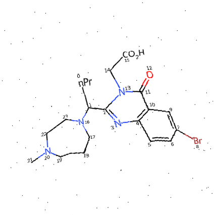 CCCC(c1nc2ccc(Br)cc2c(=O)n1CC(=O)O)N1CCCN(C)CC1